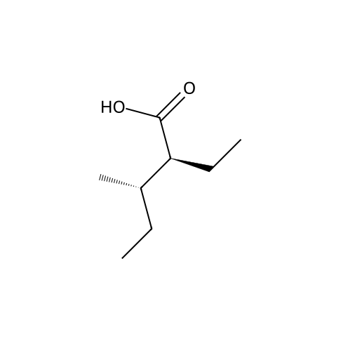 CC[C@H](C(=O)O)[C@@H](C)CC